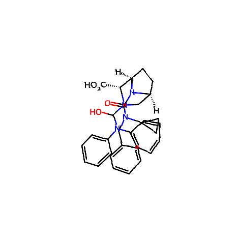 O=C(O)[C@@H]1[C@H]2CC[C@@H](CN1C(O)N(c1ccccc1)c1ccccc1)N2C(=O)N(Cc1ccccc1)C1CC1